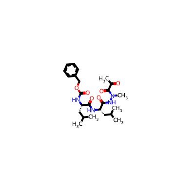 CC(=O)C(=O)N(C)NC(=O)[C@H](CC(C)C)NC(=O)[C@H](CC(C)C)NC(=O)OCc1ccccc1